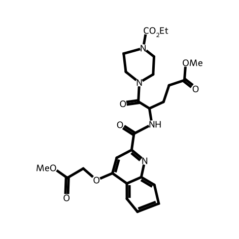 CCOC(=O)N1CCN(C(=O)C(CCC(=O)OC)NC(=O)c2cc(OCC(=O)OC)c3ccccc3n2)CC1